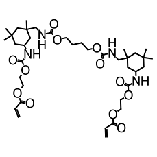 C=CC(=O)OCCOC(=O)NC1CC(C)(C)CC(C)(CNC(=O)OCCCCOC(=O)NCC2(C)CC(NC(=O)OCCOC(=O)C=C)CC(C)(C)C2)C1